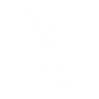 C/C=C/CCC(C)(C)OC(=O)C1CCN(C(=O)OC(C)(C)CC/C=C/C)CC1